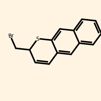 BrCC1C=Cc2cc3ccccc3cc2S1